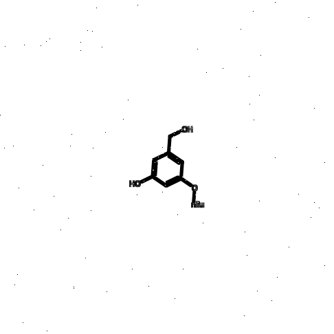 CCCCOc1cc(O)cc(CO)c1